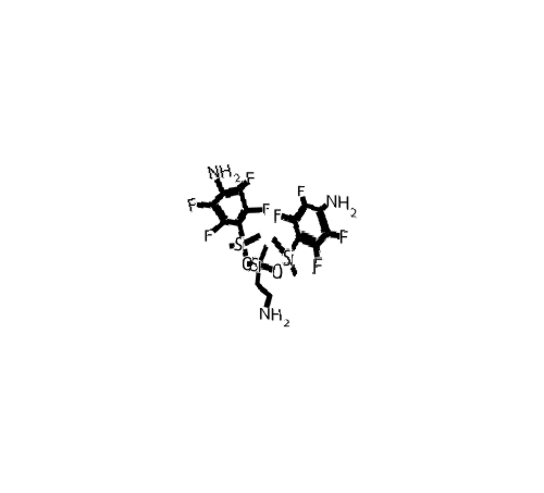 C[Si](CCN)(O[Si](C)(C)c1c(F)c(F)c(N)c(F)c1F)O[Si](C)(C)c1c(F)c(F)c(N)c(F)c1F